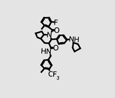 Cc1ccc(CNC(=O)C2CC3CCCC3N(C(=O)c3c(C)cccc3F)C2c2ccc(NC3CCCC3)cc2)cc1C(F)(F)F